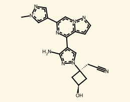 Cn1cc(-c2cn3nccc3c(-c3cn([C@]4(CC#N)C[C@H](O)C4)nc3N)n2)cn1